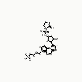 CC1CC(NS(=O)(=O)N2CCOC2=O)CC1c1cnc2cnc3c(ccn3COCCS(C)(C)C)n12